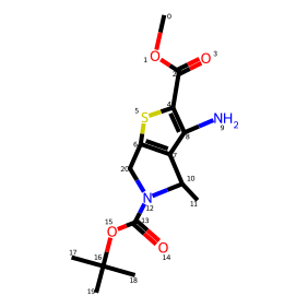 COC(=O)c1sc2c(c1N)C(C)N(C(=O)OC(C)(C)C)C2